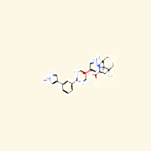 Cn1cc(-c2cccc(-c3ncc(-c4cnn([C@@H]5[C@@H]6COC[C@H]5CC(C(=O)O)C6)c4)cn3)c2)cn1